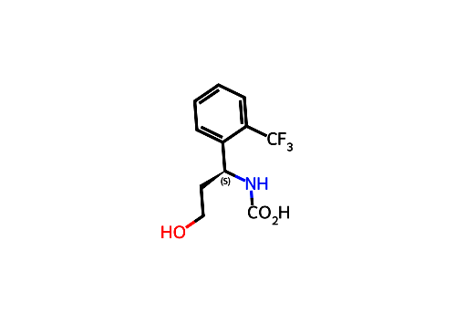 O=C(O)N[C@@H](CCO)c1ccccc1C(F)(F)F